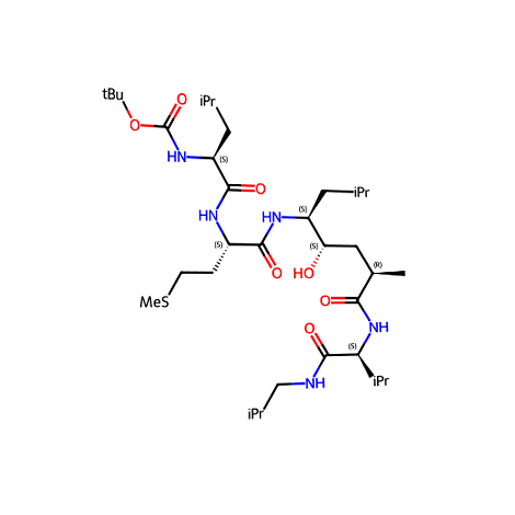 CSCC[C@H](NC(=O)[C@H](CC(C)C)NC(=O)OC(C)(C)C)C(=O)N[C@@H](CC(C)C)[C@@H](O)C[C@@H](C)C(=O)N[C@H](C(=O)NCC(C)C)C(C)C